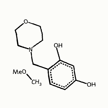 COC.Oc1ccc(CN2CCOCC2)c(O)c1